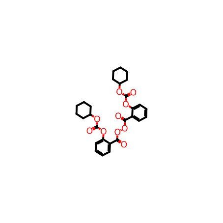 O=C(Oc1ccccc1C(=O)OOC(=O)c1ccccc1OC(=O)OC1CCCCC1)OC1CCCCC1